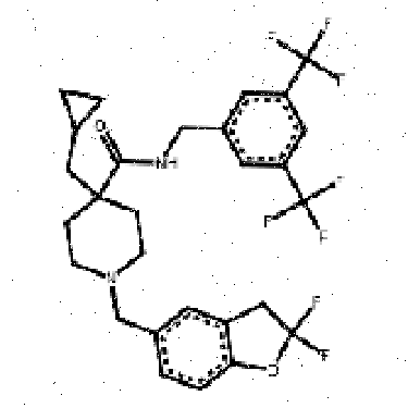 O=C(NCc1cc(C(F)(F)F)cc(C(F)(F)F)c1)C1(CC2CC2)CCN(Cc2ccc3c(c2)CC(F)(F)O3)CC1